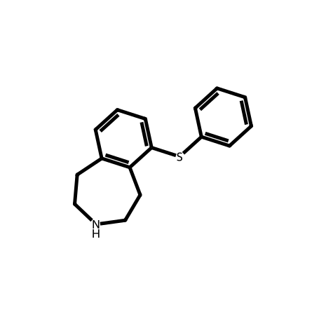 c1ccc(Sc2cccc3c2CCNCC3)cc1